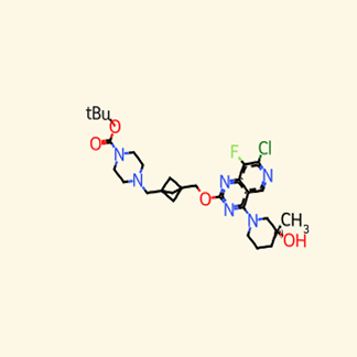 CC(C)(C)OC(=O)N1CCN(CC23CC(COc4nc(N5CCC[C@@](C)(O)C5)c5cnc(Cl)c(F)c5n4)(C2)C3)CC1